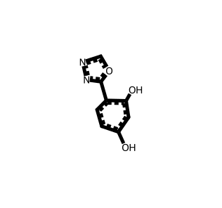 Oc1ccc(-c2nnco2)c(O)c1